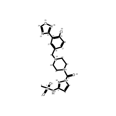 CS(=O)(=O)Nc1ccn(C(=O)N2CCN(Cc3ccc(Cl)c(-c4ncon4)c3)CC2)n1